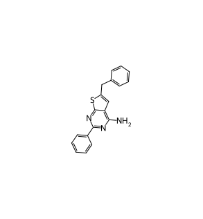 Nc1nc(-c2ccccc2)nc2sc(Cc3ccccc3)cc12